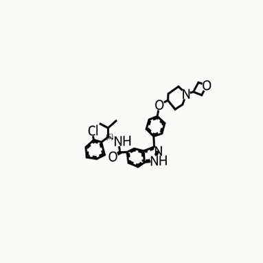 CC(C)[C@H](NC(=O)c1ccc2[nH]nc(-c3ccc(OC4CCN(C5COC5)CC4)cc3)c2c1)c1ccccc1Cl